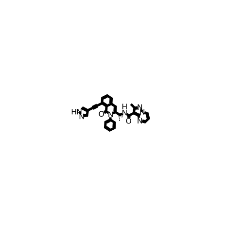 Cc1nn2cccnc2c1C(=O)N[C@H](C)c1cc2cccc(C#Cc3cn[nH]c3)c2c(=O)n1-c1ccccc1